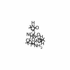 C[C@@H](OC(C)(C)C(F)(F)F)[C@H](N)C(=O)N1C[C@H]2[C@@H]([C@H]1C(=O)N[C@H](C#N)C[C@@H]1CC(C)(C)NC1=O)C2(C)C